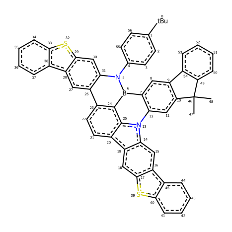 CC(C)(C)c1ccc(N2B3c4cc5c(cc4-n4c6cc7c(cc6c6ccc(c3c64)-c3cc4c(cc32)sc2ccccc24)sc2ccccc27)C(C)(C)c2ccccc2-5)cc1